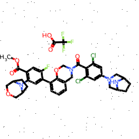 COC(=O)c1cc(F)c(-c2cccc3c2OCN(C(=O)c2c(Cl)cc(N4CC5CCC(C4)N5)cc2Cl)C3)cc1N1C2CCC1COC2.O=C(O)C(F)(F)F